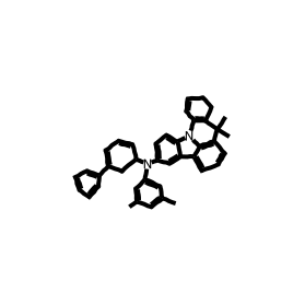 Cc1cc(C)cc(N(c2ccc3c(c2)c2cccc4c2n3C2=C(CCC=C2)C4(C)C)C2C=CC=C(c3ccccc3)C2)c1